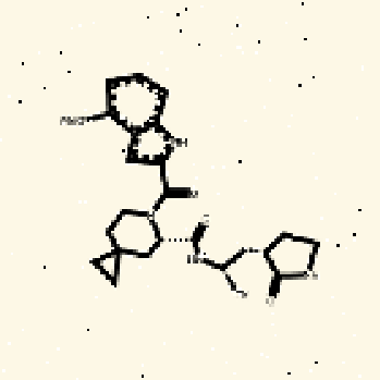 COc1cccc2[nH]c(C(=O)N3CCC4(CC4)C[C@H]3C(=O)N[C@H](C#N)C[C@@H]3CCNC3=O)cc12